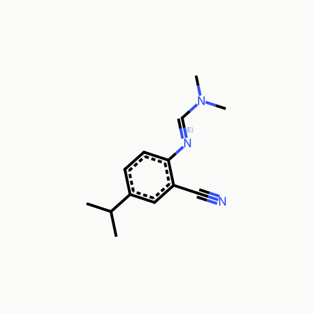 CC(C)c1ccc(/N=C/N(C)C)c(C#N)c1